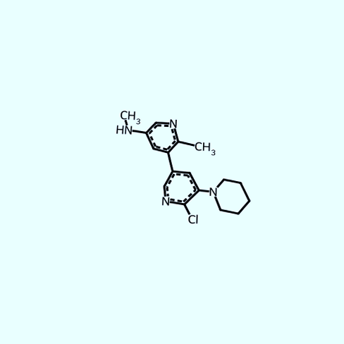 CNc1cnc(C)c(-c2cnc(Cl)c(N3CCCCC3)c2)c1